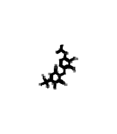 CC(C)Oc1ccc(Cn2c(=O)cc(C(F)(F)F)n(C)c2=O)c(Cl)c1Cl